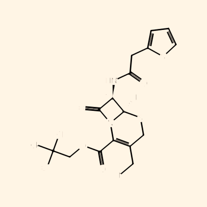 O=C(Cc1cccs1)N[C@@H]1C(=O)N2C(C(=O)OCC(Cl)(Cl)Cl)=C(CI)CS[C@H]12